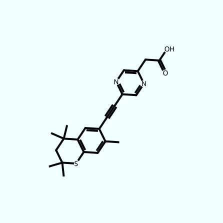 Cc1cc2c(cc1C#Cc1cnc(CC(=O)O)cn1)C(C)(C)CC(C)(C)S2